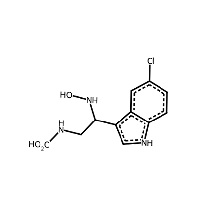 O=C(O)NCC(NO)c1c[nH]c2ccc(Cl)cc12